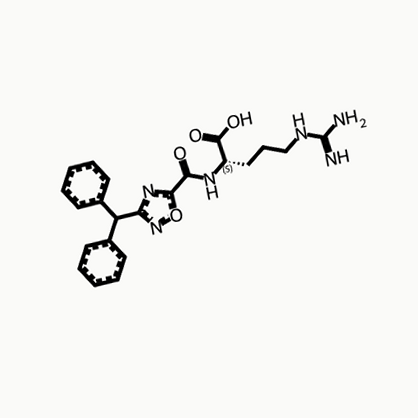 N=C(N)NCCC[C@H](NC(=O)c1nc(C(c2ccccc2)c2ccccc2)no1)C(=O)O